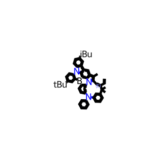 C=C/C1=C\c2c(C)c3cc4c5cc(C(C)CC)ccc5n5c4c4c3n2-c2cc(ccc2B4c2cc(C(C)(C)C)ccc2-5)N(c2ccccc2)c2cccc(c2)C1(C)C